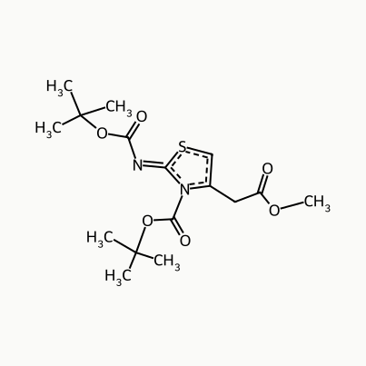 COC(=O)Cc1cs/c(=N\C(=O)OC(C)(C)C)n1C(=O)OC(C)(C)C